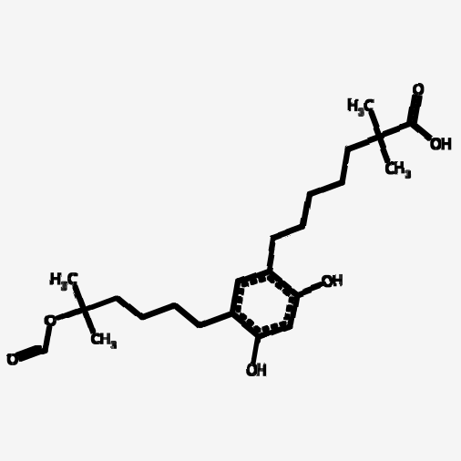 CC(C)(CCCCc1cc(CCCCCC(C)(C)C(=O)O)c(O)cc1O)OC=O